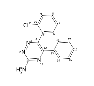 Nc1nnc(-c2ccccc2Cl)c(-c2ccccc2)n1